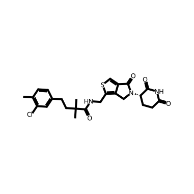 Cc1ccc(CCC(C)(C)C(=O)NCc2scc3c2CN([C@H]2CCC(=O)NC2=O)C3=O)cc1Cl